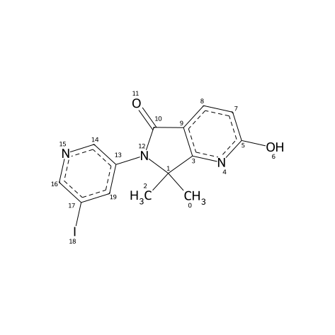 CC1(C)c2nc(O)ccc2C(=O)N1c1cncc(I)c1